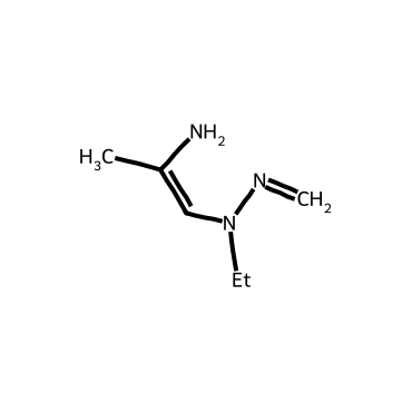 C=NN(/C=C(/C)N)CC